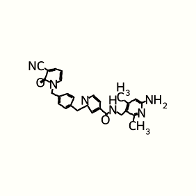 Cc1cc(N)nc(C)c1CNC(=O)c1ccnc(Cc2ccc(Cn3cccc(C#N)c3=O)cc2)c1